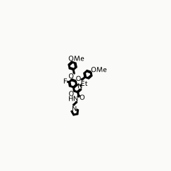 CCn1cc(C(=O)NCCN2CCCC2)c(=O)c2cc(F)c(OCc3ccc(OC)cc3)c(OCc3ccc(OC)cc3)c21